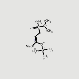 CO/C(=C/CP(N)(=O)N(C)C)O[Si](C)(C)C